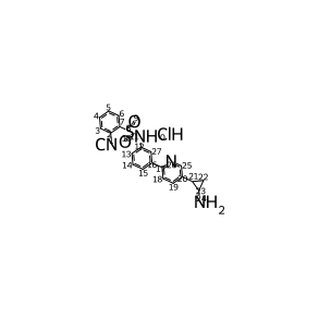 Cl.N#Cc1ccccc1S(=O)(=O)Nc1cccc(-c2ccc(C3CC3N)cn2)c1